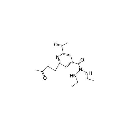 CCNN(NCC)C(=O)c1cc(CCC(C)=O)nc(C(C)=O)c1